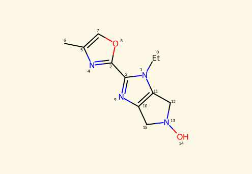 CCn1c(-c2nc(C)co2)nc2c1CN(O)C2